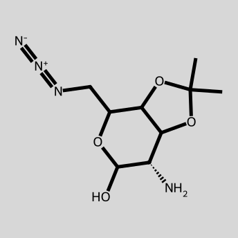 CC1(C)OC2C(CN=[N+]=[N-])OC(O)[C@@H](N)C2O1